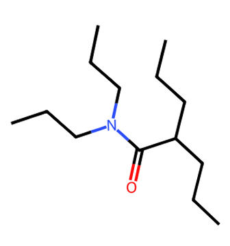 CCCC(CCC)C(=O)N(CCC)CCC